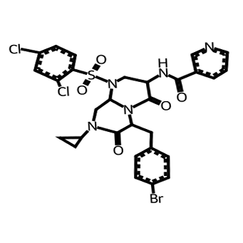 O=C(NC1CN(S(=O)(=O)c2ccc(Cl)cc2Cl)C2CN(C3CC3)C(=O)C(Cc3ccc(Br)cc3)N2C1=O)c1cccnc1